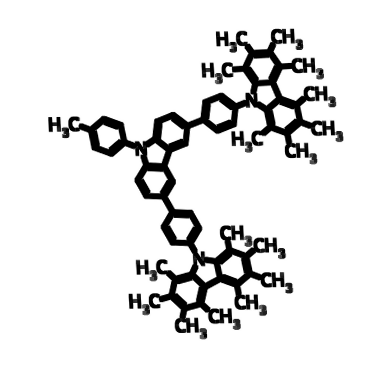 Cc1ccc(-n2c3ccc(-c4ccc(-n5c6c(C)c(C)c(C)c(C)c6c6c(C)c(C)c(C)c(C)c65)cc4)cc3c3cc(-c4ccc(-n5c6c(C)c(C)c(C)c(C)c6c6c(C)c(C)c(C)c(C)c65)cc4)ccc32)cc1